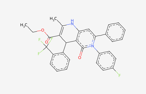 CCOC(=O)C1=C(C)Nc2cc(-c3ccccc3)n(-c3ccc(F)cc3)c(=O)c2C1c1ccccc1C(F)(F)F